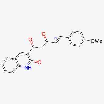 COc1ccc(/C=C/C(=O)CC(=O)c2cc3ccccc3[nH]c2=O)cc1